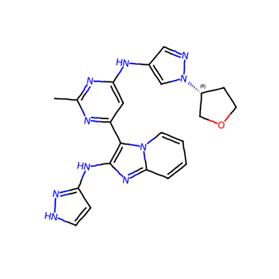 Cc1nc(Nc2cnn([C@@H]3CCOC3)c2)cc(-c2c(Nc3cc[nH]n3)nc3ccccn23)n1